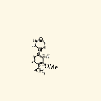 COc1c(C)ccc(N2CCOCC2)c1F